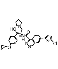 O=C(N[C@H](CN1CCCC1)[C@H](O)c1ccc(OC2CC2)cc1)C1=NOCc2cc(-c3ccc(Cl)s3)ccc21